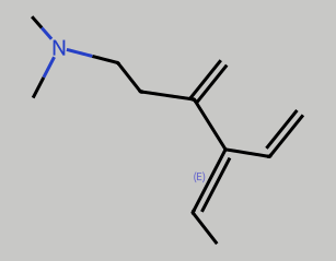 C=C/C(=C\C)C(=C)CCN(C)C